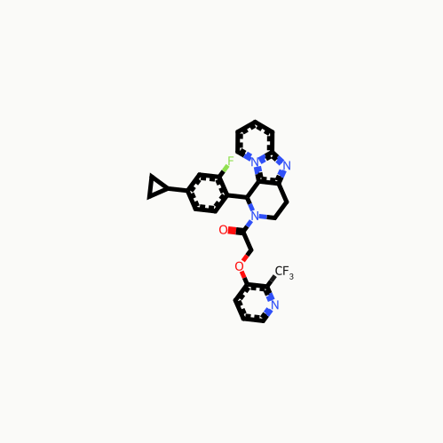 O=C(COc1cccnc1C(F)(F)F)N1CCc2nc3ccccn3c2C1c1ccc(C2CC2)cc1F